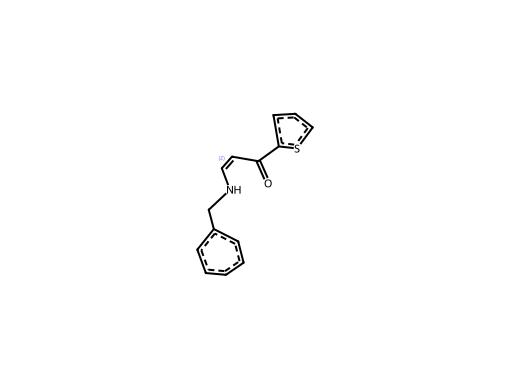 O=C(/C=C\NCc1ccccc1)c1cccs1